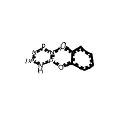 c1ccc2op3[nH][pH]npn3oc2c1